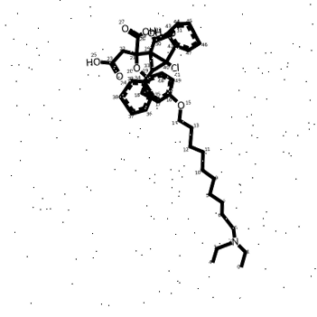 CCN(CC)CCCCCCCCCCOc1ccc(OC(CC(=O)O)(C(=O)O)C2(C(=O)O)C(c3ccccc3)C2(Cl)c2ccccc2)cc1